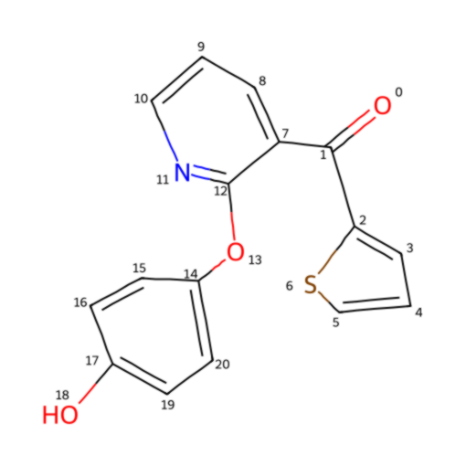 O=C(c1cccs1)c1cccnc1Oc1ccc(O)cc1